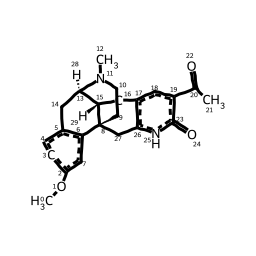 COc1ccc2c(c1)[C@]13CCN(C)[C@H](C2)[C@@H]1Cc1cc(C(C)=O)c(=O)[nH]c1C3